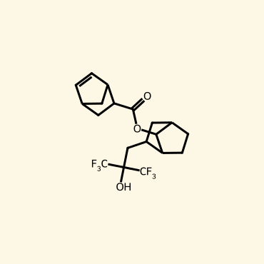 O=C(OC1C2CCC1C(CC(O)(C(F)(F)F)C(F)(F)F)C2)C1CC2C=CC1C2